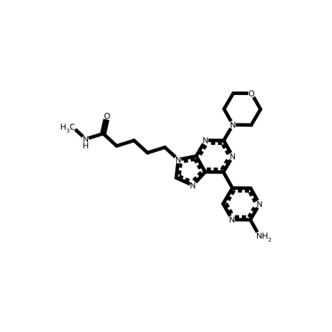 CNC(=O)CCCCn1cnc2c(-c3cnc(N)nc3)nc(N3CCOCC3)nc21